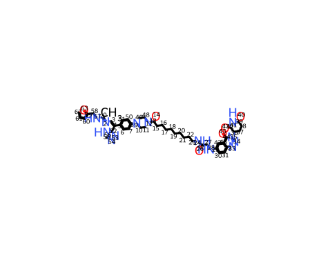 C/C(=N\C=C(\c1ccc(N2CCN(C(=O)CCCCCCCCCNC(=O)CNc3ccc4nnn(C5CCC(=O)NC5=O)c(=O)c4c3)CC2)cc1)c1nnc[nH]1)NCc1ccco1